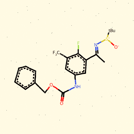 CC(=N[S+]([O-])C(C)(C)C)c1cc(NC(=O)OCc2ccccc2)cc(C(F)(F)F)c1F